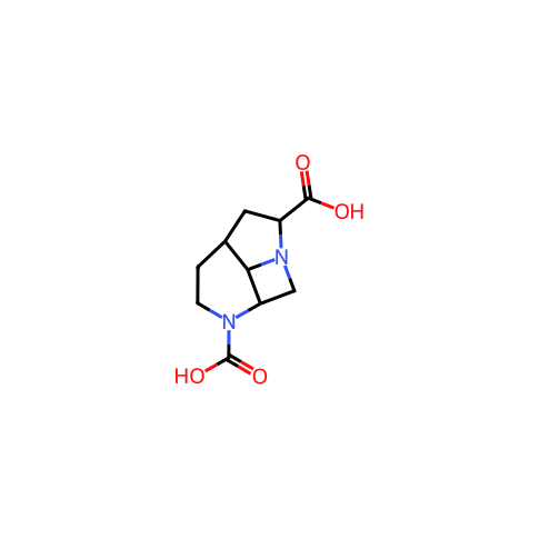 O=C(O)C1CC2CCN(C(=O)O)C3CN1C23